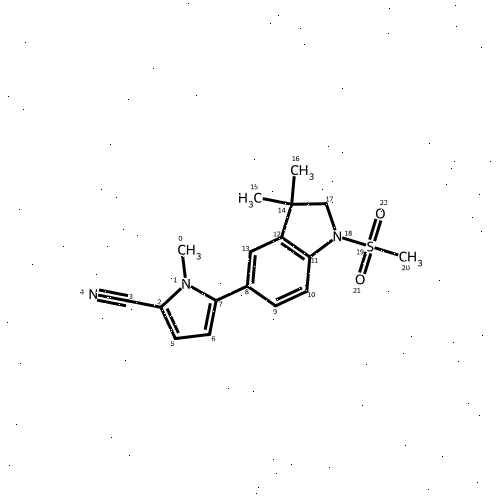 Cn1c(C#N)ccc1-c1ccc2c(c1)C(C)(C)CN2S(C)(=O)=O